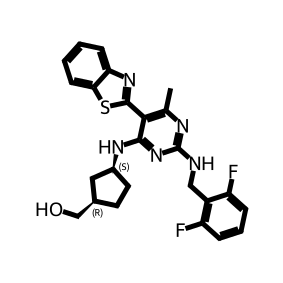 Cc1nc(NCc2c(F)cccc2F)nc(N[C@H]2CC[C@@H](CO)C2)c1-c1nc2ccccc2s1